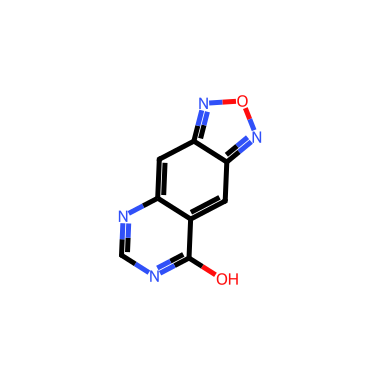 Oc1ncnc2cc3nonc3cc12